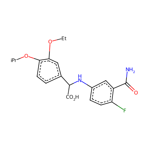 CCOc1cc(C(Nc2ccc(F)c(C(N)=O)c2)C(=O)O)ccc1OC(C)C